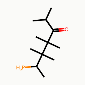 CC(C)C(=O)C(C)(C)C(C)(C)C(C)P